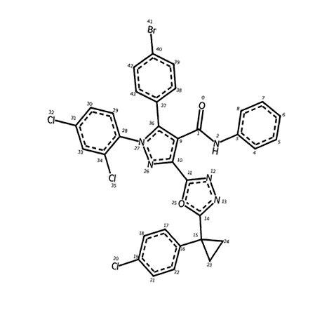 O=C(Nc1ccccc1)c1c(-c2nnc(C3(c4ccc(Cl)cc4)CC3)o2)nn(-c2ccc(Cl)cc2Cl)c1-c1ccc(Br)cc1